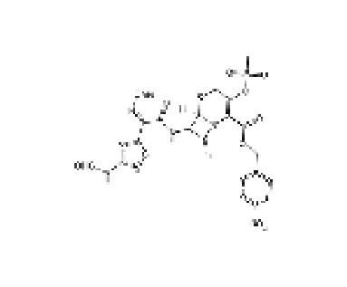 CO/N=C(\C(=O)NC1C(=O)N2C(C(=O)OCc3ccc([N+](=O)[O-])cc3)=C(OS(C)(=O)=O)CS[C@H]12)c1csc(NC=O)n1